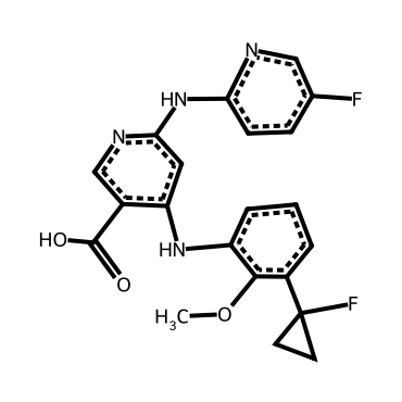 COc1c(Nc2cc(Nc3ccc(F)cn3)ncc2C(=O)O)cccc1C1(F)CC1